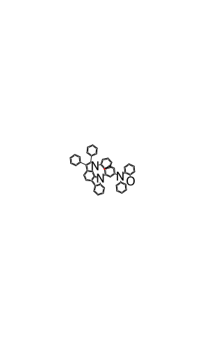 c1ccc(-c2c(-c3ccccc3)n(-c3ccccc3)c3c2ccc2c4ccccc4n(-c4cccc(N5c6ccccc6Oc6ccccc65)c4)c23)cc1